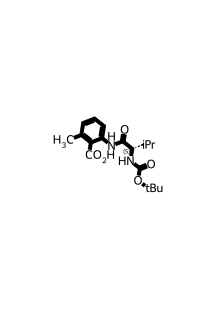 Cc1cccc(NC(=O)[C@@H](NC(=O)OC(C)(C)C)C(C)C)c1C(=O)O